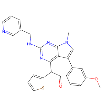 COc1cccc(-c2cn(C)c3nc(NCc4cccnc4)nc(C(C=O)c4cccs4)c23)c1